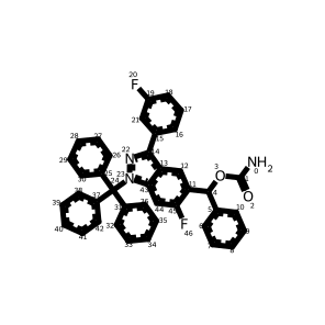 NC(=O)OC(c1ccccc1)c1cc2c(-c3cccc(F)c3)nn(C(c3ccccc3)(c3ccccc3)c3ccccc3)c2cc1F